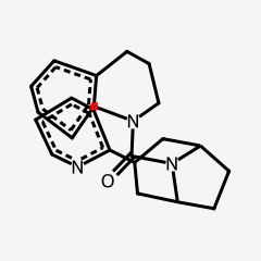 O=C(N1CCCc2ccccc21)N1C2CCC1CC(c1ccccn1)C2